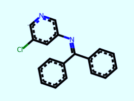 Clc1[c]ncc(N=C(c2ccccc2)c2ccccc2)c1